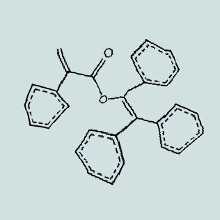 C=C(C(=O)OC(=C(c1ccccc1)c1ccccc1)c1ccccc1)c1ccccc1